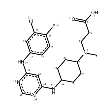 CN(CCC(=O)O)C1CCC(Nc2cc(Nc3ccc(F)c(Cl)c3)ncn2)CC1